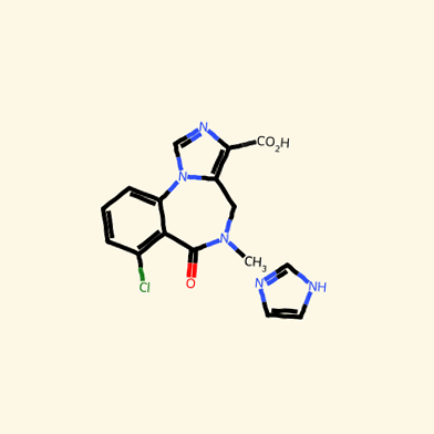 CN1Cc2c(C(=O)O)ncn2-c2cccc(Cl)c2C1=O.c1c[nH]cn1